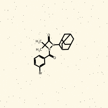 CC1(C)C(=O)N(C2C3CC4CC(C3)CC2C4)N1C(=O)c1cccc(Br)c1